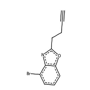 C#CCCc1nc2c(Br)cccc2o1